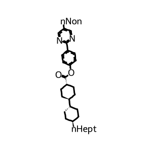 CCCCCCCCCc1cnc(-c2ccc(OC(=O)[C@H]3CC[C@H]([C@H]4CC[C@H](CCCCCCC)CC4)CC3)cc2)nc1